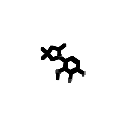 COc1c(N2CC(C)(C)CC2C)ccc(F)c1F